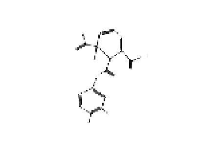 CC1(C(=O)O)C=CC=C(C(=O)O)C1C(=O)Nc1ccc(Cl)c(Cl)c1